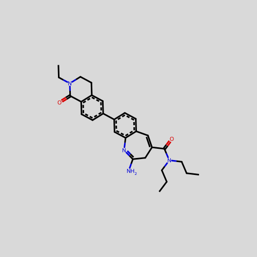 CCCN(CCC)C(=O)C1=Cc2ccc(-c3ccc4c(c3)CCN(CC)C4=O)cc2N=C(N)C1